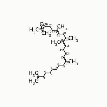 CC(C)=CCC/C=C/CC/C(C)=C/CC/C=C(\C)C(C)C/C=C(\C)CCC1OC1(C)C